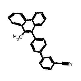 Cc1c(-c2ccc(-c3cccc(C#N)c3)cc2)c2ccccc2c2ccccc12